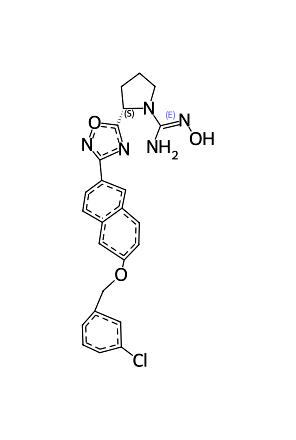 N/C(=N\O)N1CCC[C@H]1c1nc(-c2ccc3cc(OCc4cccc(Cl)c4)ccc3c2)no1